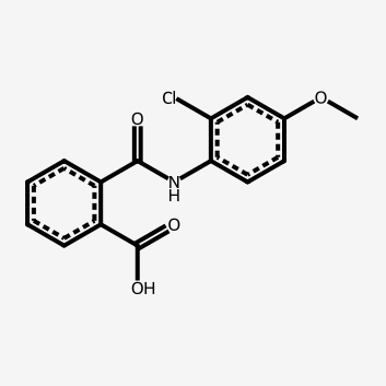 COc1ccc(NC(=O)c2ccccc2C(=O)O)c(Cl)c1